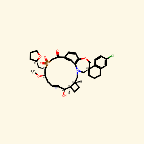 CO[C@@H]1C/C=C/[C@H](O)[C@@H]2CC[C@H]2CN2C[C@@]3(CCCc4cc(Cl)ccc43)COc3ccc(cc32)C(=O)CS(=O)(=O)[C@@H]1C[C@H]1CCCO1